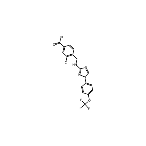 O=C(O)c1ccc(CNc2ncn(-c3ccc(OC(F)(F)F)cc3)n2)c(Cl)c1